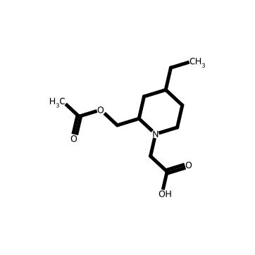 CCC1CCN(CC(=O)O)C(COC(C)=O)C1